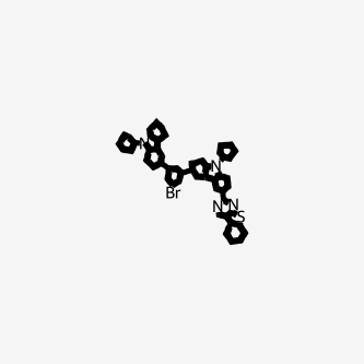 Brc1cc(-c2ccc3c(c2)c2ccccc2n3-c2ccccc2)cc(-c2ccc3c(c2)c2cc(-c4ncc5c(n4)sc4ccccc45)ccc2n3-c2ccccc2)c1